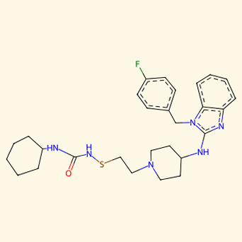 O=C(NSCCN1CCC(Nc2nc3ccccc3n2Cc2ccc(F)cc2)CC1)NC1CCCCC1